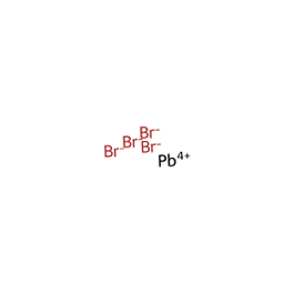 [Br-].[Br-].[Br-].[Br-].[Pb+4]